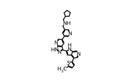 Cc1ccc(-c2cncc3[nH]c(-c4n[nH]c5ncc(-c6cncc(CNCC7CCCC7)c6)cc45)cc23)s1